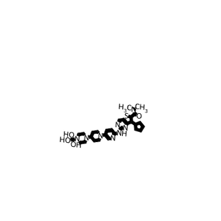 CN(C)C(=O)C1Sc2cnc(Nc3ccc(N4CCC(N5CCN(C(O)(O)O)CC5)CC4)cn3)nc2C1C1CCCC1